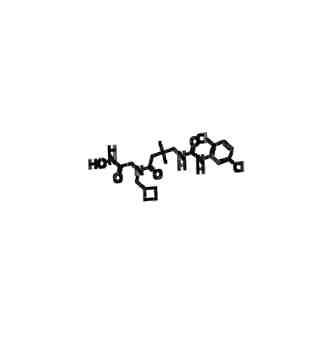 CC(C)(CNC(=O)Nc1cc(Cl)ccc1Cl)CC(=O)N(CC(=O)NO)CC1CCC1